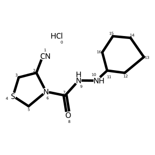 Cl.N#CC1CSCN1C(=O)NNC1CCCCC1